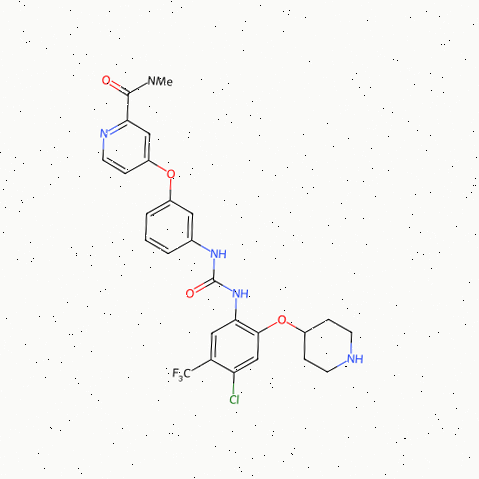 CNC(=O)c1cc(Oc2cccc(NC(=O)Nc3cc(C(F)(F)F)c(Cl)cc3OC3CCNCC3)c2)ccn1